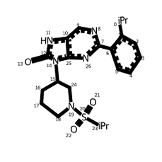 CC(C)c1ccccc1-c1ncc2[nH]c(=O)n(C3CCCN(S(=O)(=O)C(C)C)C3)c2n1